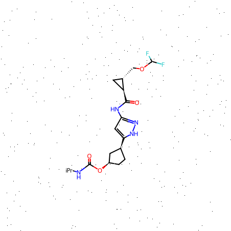 CC(C)NC(=O)O[C@@H]1CC[C@H](c2cc(NC(=O)[C@H]3C[C@@H]3COC(F)F)n[nH]2)C1